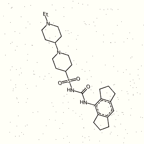 CCN1CCC(N2CCC(S(=O)(=O)NC(=O)Nc3c4c(cc5c3CCC5)CCC4)CC2)CC1